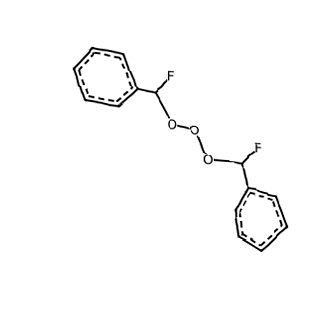 FC(OOOC(F)c1ccccc1)c1ccccc1